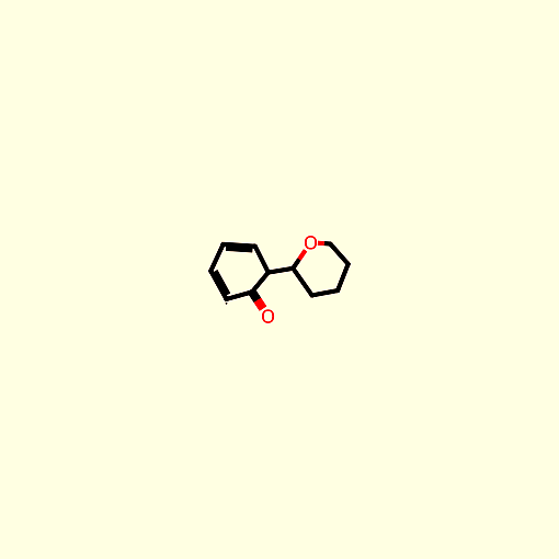 O=C1[C]=CC=CC1C1CCCCO1